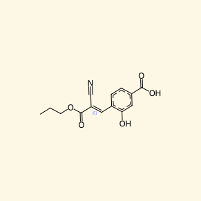 CCCOC(=O)/C(C#N)=C/c1ccc(C(=O)O)cc1O